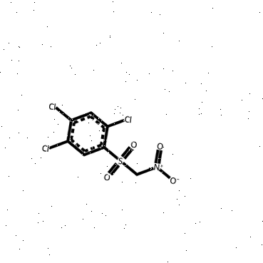 O=[N+]([O-])CS(=O)(=O)c1cc(Cl)c(Cl)cc1Cl